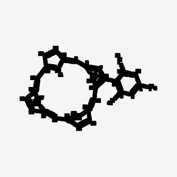 Fc1cc(F)c(-c2cc3cc4nc(cc5ccc(cc6nc(cc2[nH]3)C=C6)[nH]5)C=C4)c(F)c1